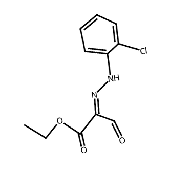 CCOC(=O)/C(C=O)=N/Nc1ccccc1Cl